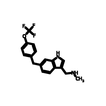 CNCc1c[nH]c2cc(Cc3ccc(OC(F)(F)F)cc3)ccc12